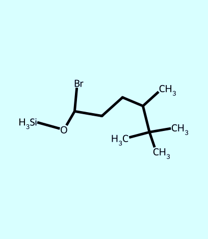 CC(CCC(Br)O[SiH3])C(C)(C)C